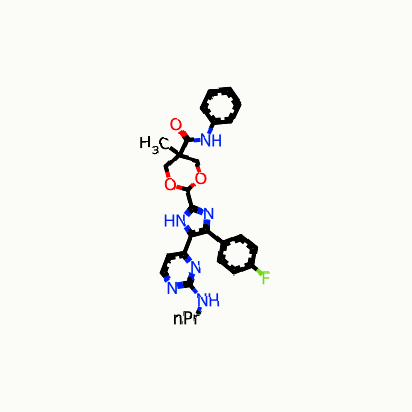 CCCNc1nccc(-c2[nH]c(C3OCC(C)(C(=O)Nc4ccccc4)CO3)nc2-c2ccc(F)cc2)n1